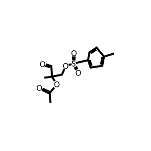 CC(=O)OC(C)(C=O)COS(=O)(=O)c1ccc(C)cc1